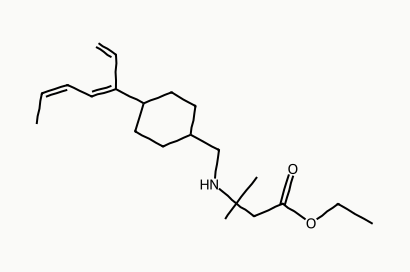 C=C/C(=C\C=C/C)C1CCC(CNC(C)(C)CC(=O)OCC)CC1